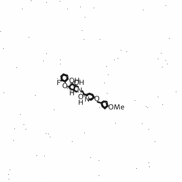 COc1ccc(COc2ccc([C@@H](O)CN3C[C@@H]4C[C@@H](Oc5ccccc5F)[C@@H](O)[C@]4(O)C3)nc2)cc1